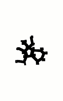 CCC1=C(C)[C]([Ti])(CC)C2=C1CCCC2